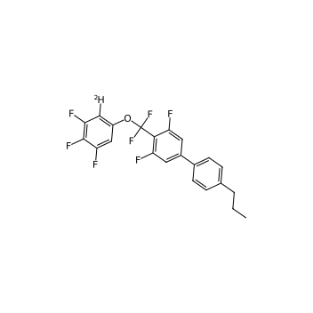 [2H]c1c(OC(F)(F)c2c(F)cc(-c3ccc(CCC)cc3)cc2F)cc(F)c(F)c1F